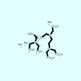 O=C(O)CN(CCN(CC(=O)O)CC(=O)O)CC(=O)O.O=C([O-])CN(CC(=O)[O-])CC(=O)[O-].[Na+].[Na+].[Na+]